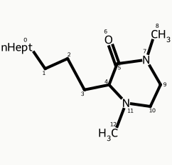 CCCCCCCCCCC1C(=O)N(C)CCN1C